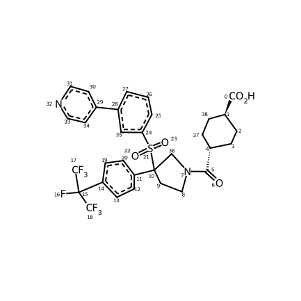 O=C(O)[C@H]1CC[C@H](C(=O)N2CCC(c3ccc(C(F)(C(F)(F)F)C(F)(F)F)cc3)(S(=O)(=O)c3cccc(-c4ccncc4)c3)C2)CC1